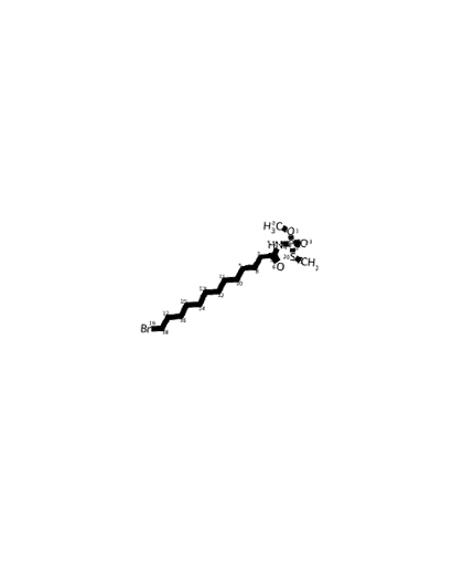 COP(=O)(NC(=O)CCCCCCCCCCCCBr)SC